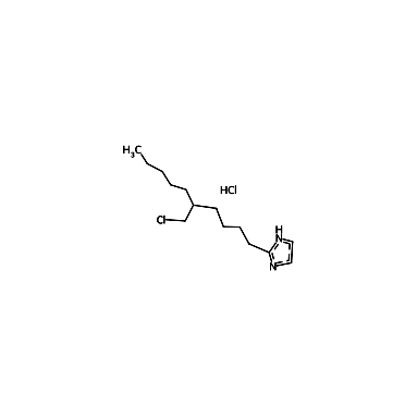 CCCCCC(CCl)CCCCc1ncc[nH]1.Cl